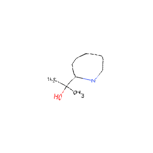 CC(C)(O)C1CCCC[N]1